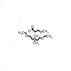 CCOCC[N+](C)(C)CCOCC.CSCCC(=O)[O-]